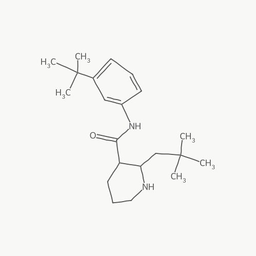 CC(C)(C)CC1NCCCC1C(=O)Nc1cccc(C(C)(C)C)c1